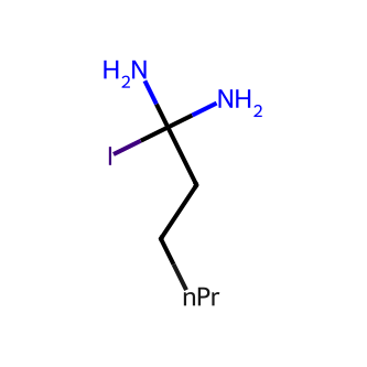 CCCCCC(N)(N)I